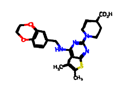 Cc1sc2nc(N3CCC(C(=O)O)CC3)nc(NCc3ccc4c(c3)OCCO4)c2c1C